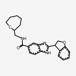 O=C(NCC1CCCCCC1)c1ccc2[nH]c(C3COc4ccccc43)nc2c1